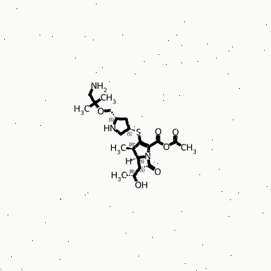 CC(=O)OC(=O)C1=C(S[C@@H]2CN[C@H](COC(C)(C)CN)C2)[C@H](C)[C@@H]2[C@@H]([C@@H](C)O)C(=O)N12